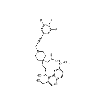 COc1ccc2ncc(CO)c([C@H](O)CCC3(CC(=O)O)CCN(CC#Cc4cc(F)c(F)c(F)c4)CC3)c2c1